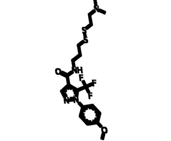 COc1ccc(-n2ncc(C(=O)NCCCSSCCN(C)C)c2C(F)(F)F)cc1